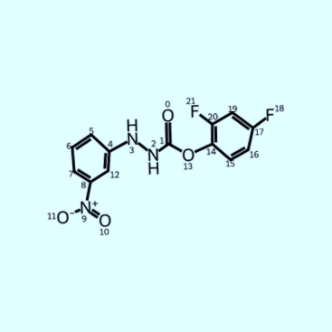 O=C(NNc1cccc([N+](=O)[O-])c1)Oc1ccc(F)cc1F